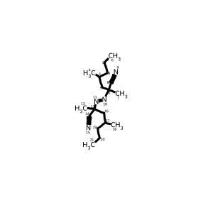 CCCC(C)CC(C)(C#N)/N=N/C(C)(C#N)CC(C)CCC